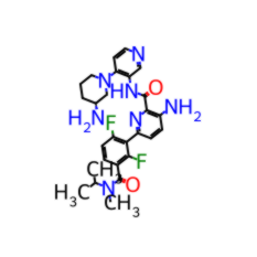 CC(C)N(C)C(=O)c1ccc(F)c(-c2ccc(N)c(C(=O)Nc3cnccc3N3CCC[C@H](N)C3)n2)c1F